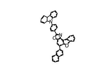 C1=CC2c3ccccc3N(c3ccc(-c4nc5c(cc(-c6ccc7ccccc7c6)c6oc7ccccc7c65)o4)cc3)C2C=C1